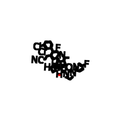 Cc1nc2c(F)c(-c3cccc(Cl)c3Cl)c(CCC#N)cc2c2c1cc([C@@H](C)N1CCCN(c3ccc(F)cn3)C1=O)n2[C@H]1[C@H]2CN[C@@H]1C2